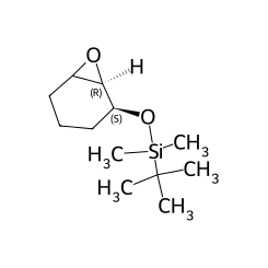 CC(C)(C)[Si](C)(C)O[C@H]1CCCC2O[C@H]21